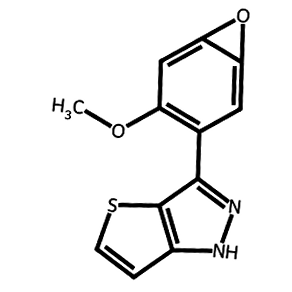 COc1cc2c(cc1-c1n[nH]c3ccsc13)O2